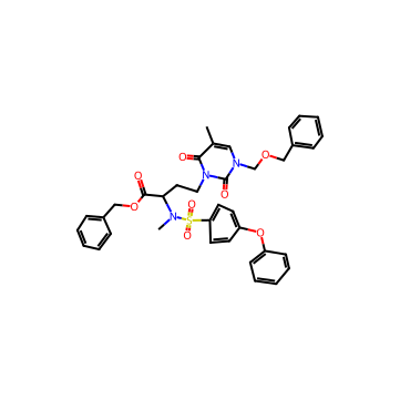 Cc1cn(COCc2ccccc2)c(=O)n(CCC(C(=O)OCc2ccccc2)N(C)S(=O)(=O)c2ccc(Oc3ccccc3)cc2)c1=O